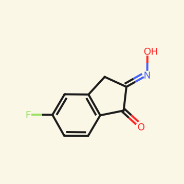 O=C1/C(=N/O)Cc2cc(F)ccc21